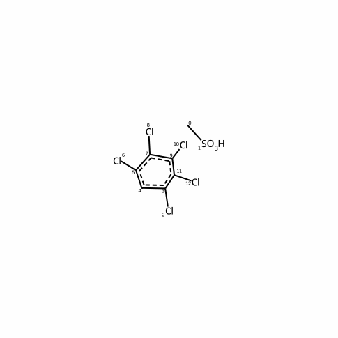 CS(=O)(=O)O.Clc1cc(Cl)c(Cl)c(Cl)c1Cl